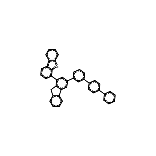 c1ccc(-c2ccc(-c3cccc(-c4cc5c(c(-c6cccc7c6sc6ccccc67)c4)Cc4ccccc4-5)c3)cc2)cc1